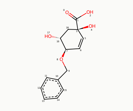 O=C(O)[C@]1(O)C=C[C@@H](OCc2ccccc2)[C@H](O)C1